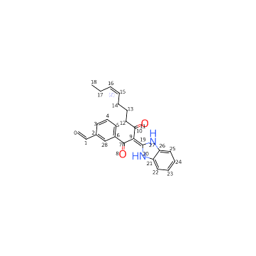 C=Cc1cccc(C(=O)C(C(=O)CCC/C=C\CC)=C2Nc3ccccc3N2)c1